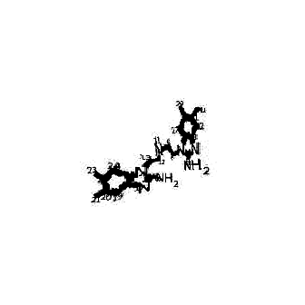 Cc1cc2nc(N)n(CCN(C)CCn3c(N)nc4cc(C)c(C)cc43)c2cc1C